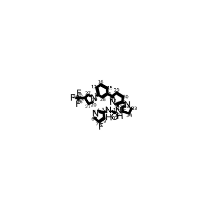 O=C(Nc1cncc(F)c1)N1c2nc(-c3cccc(N4CCC(C(F)(F)F)C4)c3)ccc2N2CC[C@H]1C2